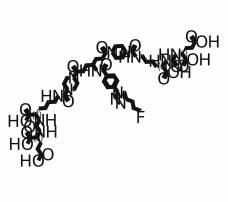 O=C(O)CC[C@H](NC(=O)N[C@@H](CCCCNC(=O)N1CCN(C(=O)CCC(CCC(=O)N2CCN(C(=O)NCCCC[C@H](NC(=O)N[C@@H](CCC(=O)O)C(=O)O)C(=O)O)CC2)NC(=O)c2ccc(-n3cc(CCCF)nn3)cc2)CC1)C(=O)O)C(=O)O